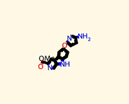 COC(=O)c1cc2c(cn1)[nH]c1ccc(Oc3ccc(N)cn3)cc12